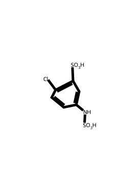 O=S(=O)(O)Nc1ccc(Cl)c(S(=O)(=O)O)c1